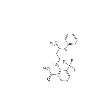 CC(CCNc1c(C(=O)O)cccc1C(F)(F)F)Sc1ccccc1